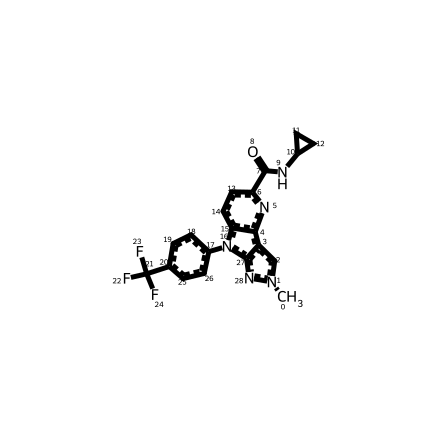 Cn1cc2c3nc(C(=O)NC4CC4)ccc3n(-c3ccc(C(F)(F)F)cc3)c2n1